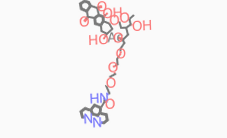 CC(=O)C1(O)Cc2cc3c(c(O)c2C(OC2CC(CC(=O)CCOCCOCCOCCNC(=O)c4cc5cccnc5c5ncccc45)C(O)C(C)O2)C1)C(=O)c1ccccc1C3=O